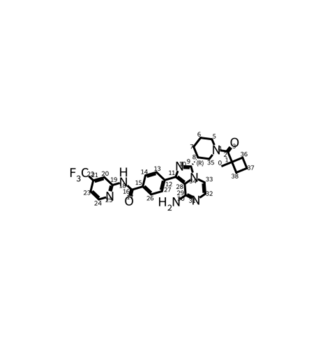 CC1(C(=O)N2CCC[C@@H](c3nc(-c4ccc(C(=O)Nc5cc(C(F)(F)F)ccn5)cc4)c4c(N)nccn34)C2)CCC1